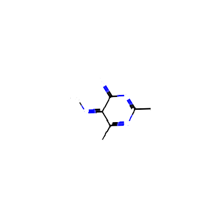 CN/N=C1\C(=N)N=C(C)N=C1C